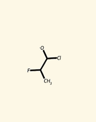 CC(F)C([O])Cl